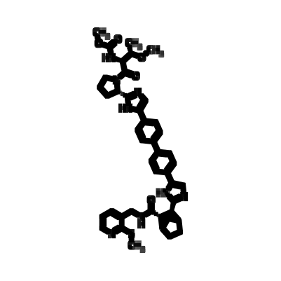 COC(=O)N[C@H](C(=O)N1CCC[C@H]1c1ncc(-c2ccc(-c3ccc(-c4cnc([C@H]5C6CCC(C6)[C@@H]5C(=O)NCc5cccnc5SC)[nH]4)cc3)cc2)[nH]1)[C@@H](C)OC